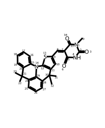 CN1C(=O)NC(=O)/C(=C\c2cc3c(s2)N2c4ccccc4C(C)(C)c4cccc(c42)C3(C)C)C1=O